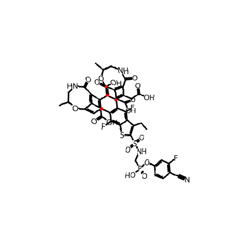 CCc1c(S(=O)(=O)NCP(=O)(O)Oc2ccc(C#N)c(F)c2)sc2c(F)c(-c3cc4c(CC(=O)O)c(c3CC(=O)O)C(=O)NCC(C)O4)c(-c3cc4c(CC(=O)O)c(c3CC(=O)O)C(=O)NCC(C)O4)c(F)c12